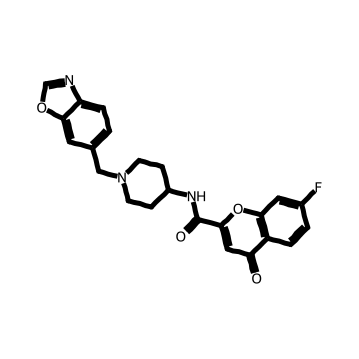 O=C(NC1CCN(Cc2ccc3ncoc3c2)CC1)c1cc(=O)c2ccc(F)cc2o1